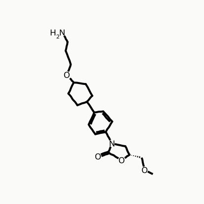 COC[C@H]1CN(c2ccc(C3CCC(OCCCN)CC3)cc2)C(=O)O1